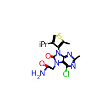 Cc1nc(Cl)c2c(n1)n(-c1c(C(C)C)csc1C)c(=O)n2CC(N)=O